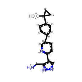 NCc1[nH]ncc1-c1ccc(-c2ccc(C3(C(=O)O)CC3)cc2)cn1